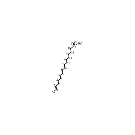 [CH2]C=CCCCCCCCCCCCCCCCCCCCCCCCCC